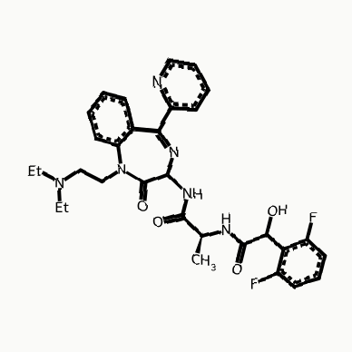 CCN(CC)CCN1C(=O)C(NC(=O)[C@H](C)NC(=O)C(O)c2c(F)cccc2F)N=C(c2ccccn2)c2ccccc21